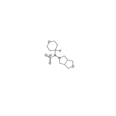 O=[SH](=O)N(N1CC2COCC2C1)C1(F)CCOCC1